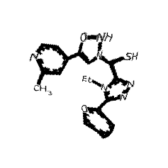 CCn1c(-c2ccco2)nnc1C(S)N1C=C(c2ccnc(C)c2)ON1